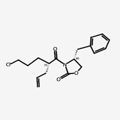 C=CC[C@H](CCCCl)C(=O)N1C(=O)OC[C@H]1Cc1ccccc1